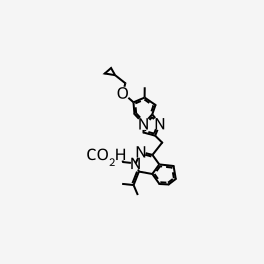 CC(C)=C1c2ccccc2C(Cc2cn3cc(OCC4CC4)c(C)cc3n2)=NN1CC(=O)O